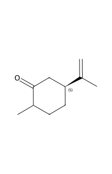 C=C(C)[C@H]1CCC(C)C(=O)C1